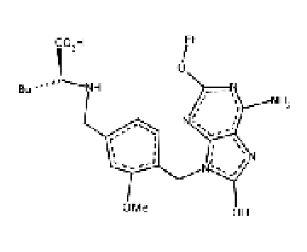 CCOc1nc(N)c2nc(O)n(Cc3ccc(CN[C@H](C(=O)O)[C@@H](C)CC)cc3OC)c2n1